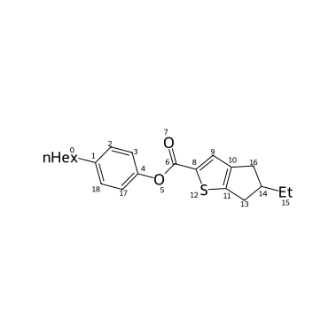 CCCCCCc1ccc(OC(=O)c2cc3c(s2)CC(CC)C3)cc1